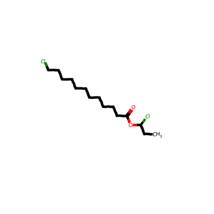 CCC(Cl)OC(=O)CCCCCCCCCCCCl